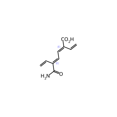 C=C/C(=C\C=C(/C=C)C(=O)O)C(N)=O